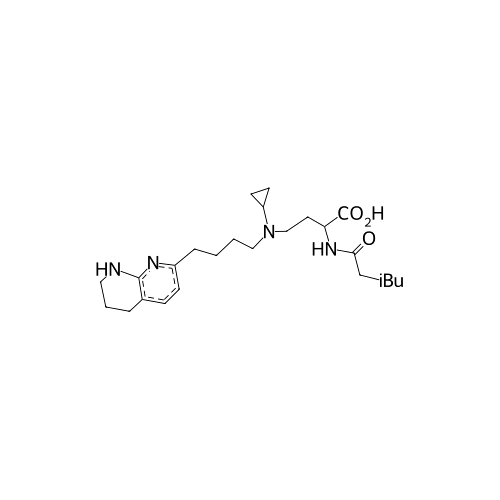 CCC(C)CC(=O)NC(CCN(CCCCc1ccc2c(n1)NCCC2)C1CC1)C(=O)O